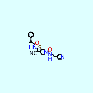 N#Cc1c(NC(=O)C2CC2c2ccccc2)sc2c1CCN(C(=O)NCCc1ccncc1)C2